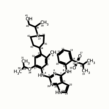 Cc1cc(Nc2nc(Nc3ccccc3S(=O)(=O)C(C)C)c3cc[nH]c3n2)c(OC(C)C)cc1C1CCN(C(C)CO)CC1